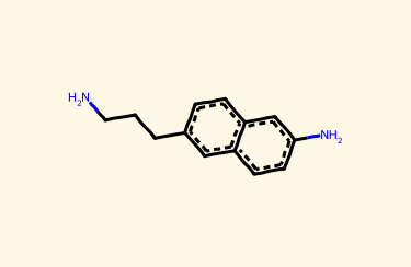 NCCCc1ccc2cc(N)ccc2c1